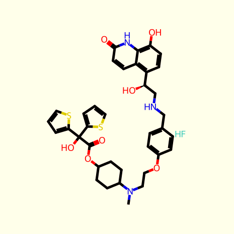 CN(CCOc1ccc(CNC[C@@H](O)c2ccc(O)c3[nH]c(=O)ccc23)cc1)C1CCC(OC(=O)C(O)(c2cccs2)c2cccs2)CC1.F